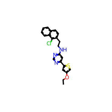 CCOc1csc(-c2cc(NCCc3ccc4ccccc4c3Cl)ncn2)c1